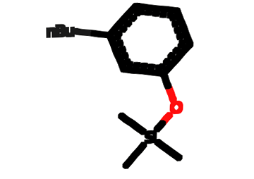 CCCCc1cccc(O[Si](C)(C)C)c1